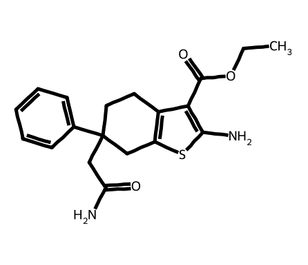 CCOC(=O)c1c(N)sc2c1CCC(CC(N)=O)(c1ccccc1)C2